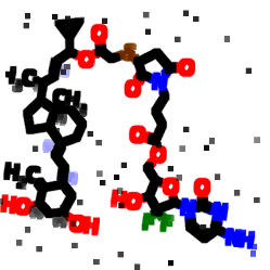 C=C1/C(=C\C=C2/CCC[C@@]3(C)C2CCC3[C@@H](C)/C=C/C(OC(=O)CSC2CC(=O)N(CCCC(=O)OCC3OC(n4ccc(N)nc4=O)C(F)(F)C3O)C2=O)C2CC2)C[C@@H](O)C[C@@H]1O